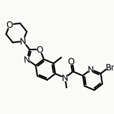 Cc1c(N(C)C(=O)c2cccc(Br)n2)ccc2nc(N3CCOCC3)oc12